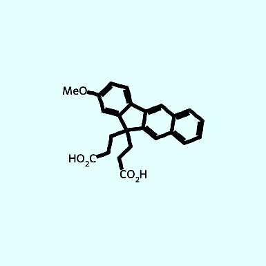 COc1ccc2c(c1)C(CCC(=O)O)(CCC(=O)O)c1cc3ccccc3cc1-2